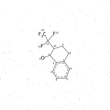 [O]C1c2ccccc2CCC1C(F)(F)C(F)(F)F